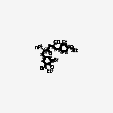 CCC[C@@H](Cc1cc(Br)c(OCC)c(Br)c1)C(=O)C[C@@H](Cc1ccc(OCC)cc1)C(=O)OCC